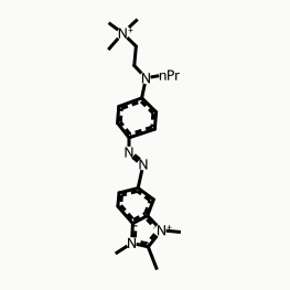 CCCN(CC[N+](C)(C)C)c1ccc(/N=N/c2ccc3c(c2)[n+](C)c(C)n3C)cc1